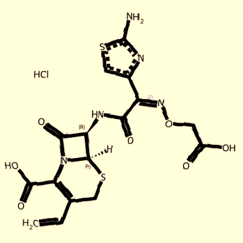 C=CC1=C(C(=O)O)N2C(=O)[C@@H](NC(=O)/C(=N\OCC(=O)O)c3csc(N)n3)[C@H]2SC1.Cl